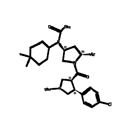 CC(=O)[C@H]1C[C@H](N(C(=O)C(C)(C)C)C2CCC(C)(C)CC2)CN1C(=O)[C@@H]1CN(C(C)(C)C)C[C@H]1c1ccc(Cl)cc1